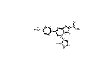 CCCC[S+]([O-])c1cc2nc(-c3ccc(OC)cc3)cc(-c3ccnn3C)n2n1